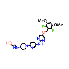 COc1cc(OC)c(F)c(COc2cnc(Nc3ccc(N4CCC(NCCO)CC4)nc3)nc2)c1F